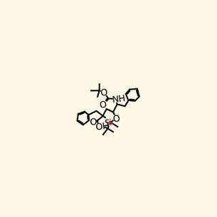 CC(C)(C)OC(=O)NC(Cc1ccccc1)C(CC(C)(Cc1ccccc1)C(=O)O)O[Si](C)(C)C(C)(C)C